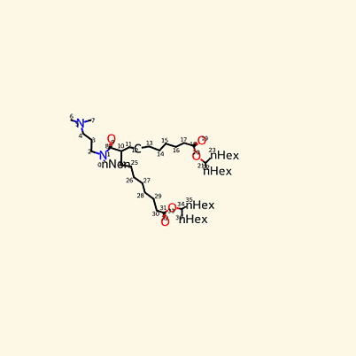 CCCCCCCCCN(CCCN(C)C)C(=O)C(CCCCCCCC(=O)OC(CCCCCC)CCCCCC)CCCCCCCC(=O)OC(CCCCCC)CCCCCC